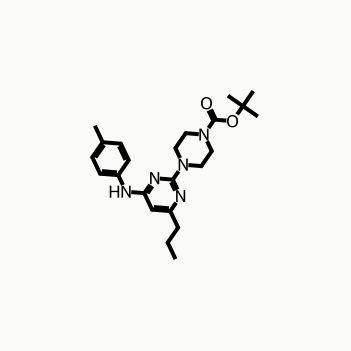 CCCc1cc(Nc2ccc(C)cc2)nc(N2CCN(C(=O)OC(C)(C)C)CC2)n1